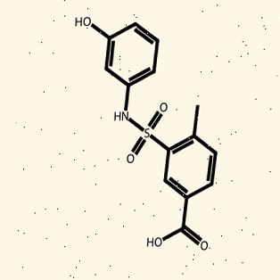 Cc1ccc(C(=O)O)cc1S(=O)(=O)Nc1cccc(O)c1